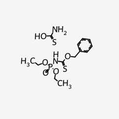 CCOP(=O)(NC(=S)OCc1ccccc1)OCC.NC(O)=S